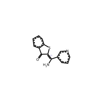 N/C(=C1/Sc2ccccc2C1=O)c1cccnc1